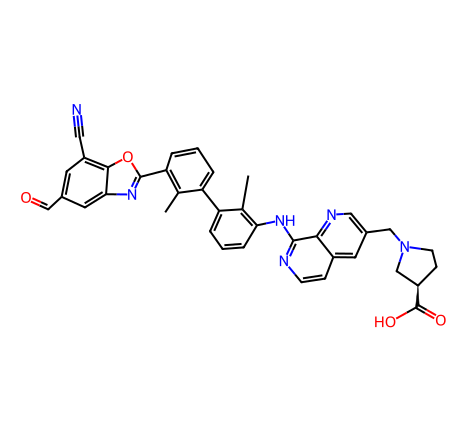 Cc1c(Nc2nccc3cc(CN4CC[C@@H](C(=O)O)C4)cnc23)cccc1-c1cccc(-c2nc3cc(C=O)cc(C#N)c3o2)c1C